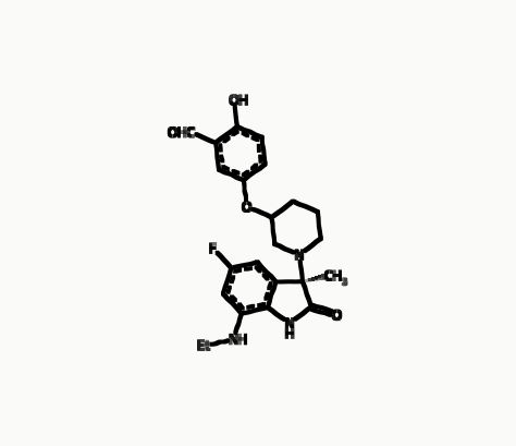 CCNc1cc(F)cc2c1NC(=O)[C@]2(C)N1CCCC(Oc2ccc(O)c(C=O)c2)C1